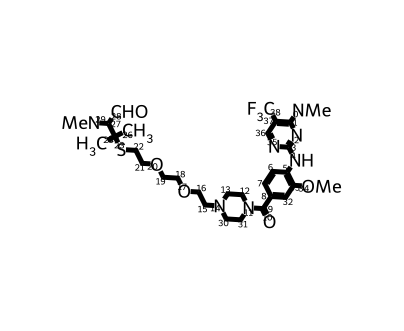 CNc1nc(Nc2ccc(C(=O)N3CCN(CCOCCOCCSC(C)(C)C(C=O)NC)CC3)cc2OC)ncc1C(F)(F)F